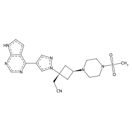 CS(=O)(=O)N1CCN([C@H]2C[C@](CC#N)(n3cc(-c4ncnc5[nH]ccc45)cn3)C2)CC1